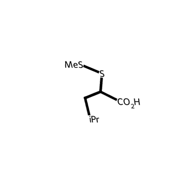 CSSC(CC(C)C)C(=O)O